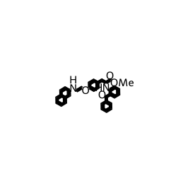 COC(=O)C(Cc1ccc(OCCNc2ccc3ccccc3c2)cc1)Nc1ccccc1C(=O)c1ccccc1